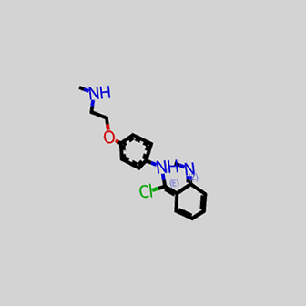 C/N=C1/C=CC=C/C1=C(\Cl)Nc1ccc(OCCNC)cc1